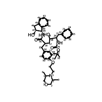 CC1COCC(C)N1CCOc1ccc(CC(CC(O)C(Cc2ccccc2)NC(=O)OC(C)(C)C)C(=O)N[C@H]2c3ccccc3C[C@@H]2O)cc1